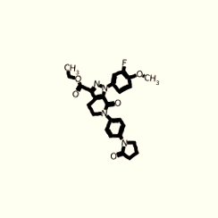 CCOC(=O)c1nn(-c2ccc(OC)c(F)c2)c2c1CCN(c1ccc(N3CCCC3=O)cc1)C2=O